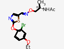 CCOc1ccc(Oc2ncc(C=NOC[C@H](C)NC(C)=O)s2)c(Br)c1